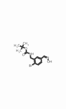 CC(C)(C)OC(=O)NCc1cc(/C=N\O)ccc1Br